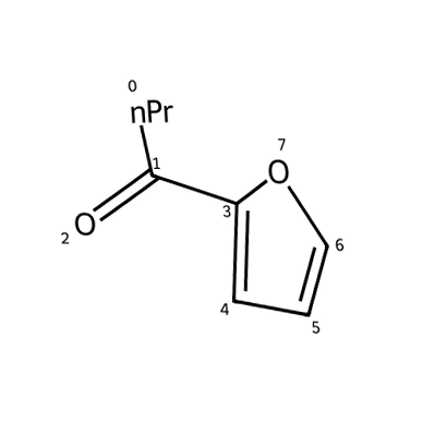 CCCC(=O)c1ccco1